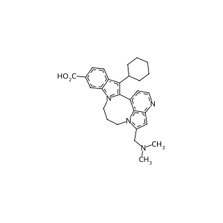 CN(C)Cc1cc2nccc3c2n1CCCn1c-3c(C2CCCCC2)c2ccc(C(=O)O)cc21